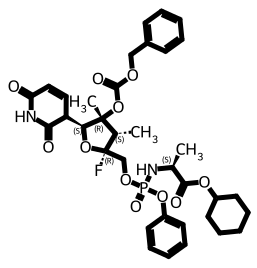 C[C@H](NP(=O)(OC[C@@]1(F)O[C@@H](C2C=CC(=O)NC2=O)[C@](C)(OC(=O)OCc2ccccc2)[C@@H]1C)Oc1ccccc1)C(=O)OC1CCCCC1